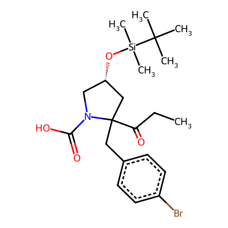 CCC(=O)C1(Cc2ccc(Br)cc2)C[C@@H](O[Si](C)(C)C(C)(C)C)CN1C(=O)O